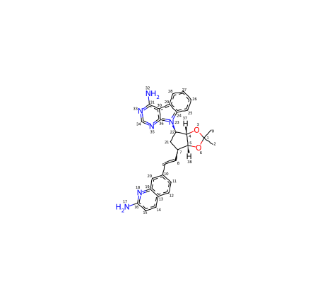 CC1(C)O[C@@H]2[C@H](O1)[C@@H](/C=C/c1ccc3ccc(N)nc3c1)C[C@H]2n1c2ccccc2c2c(N)ncnc21